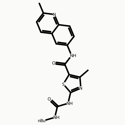 CCCCNC(=O)Nc1nc(C)c(C(=O)Nc2ccc3nc(C)ccc3c2)s1